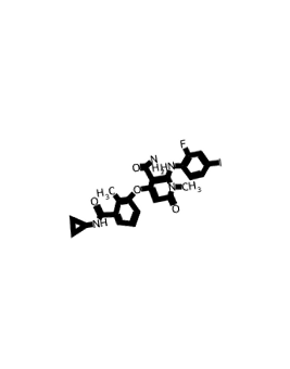 Cc1c(Oc2cc(=O)n(C)c(Nc3ccc(I)cc3F)c2C(N)=O)cccc1C(=O)NC1CC1